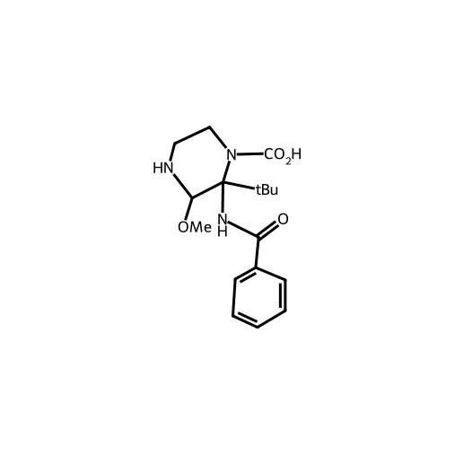 COC1NCCN(C(=O)O)C1(NC(=O)c1ccccc1)C(C)(C)C